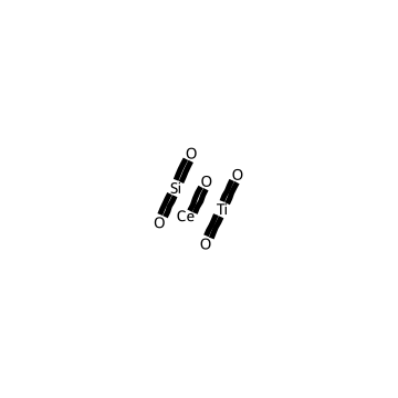 O=[Si]=O.[O]=[Ce].[O]=[Ti]=[O]